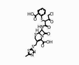 Cc1nnc(SCC2=C(C(=O)O)N3C(=O)C(NC(=O)C(Sc4ccccc4C(=O)O)C(=O)CCl)[C@H]3SC2)s1